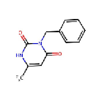 O=c1cc(C(F)(F)F)[nH]c(=O)n1Cc1ccccc1